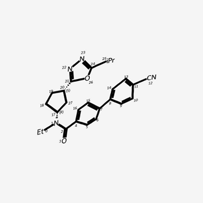 CCN(C(=O)c1ccc(-c2ccc(C#N)cc2)cc1)[C@@H]1CC[C@H](c2nnc(C(C)C)o2)C1